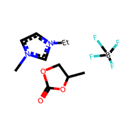 CC1COC(=O)O1.CC[n+]1ccn(C)c1.F[B-](F)(F)F